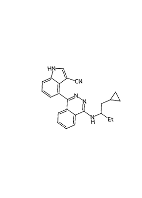 CCC(CC1CC1)Nc1nnc(-c2cccc3[nH]cc(C#N)c23)c2ccccc12